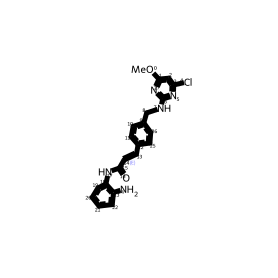 COc1cc(Cl)nc(NCc2ccc(/C=C/C(=O)Nc3ccccc3N)cc2)n1